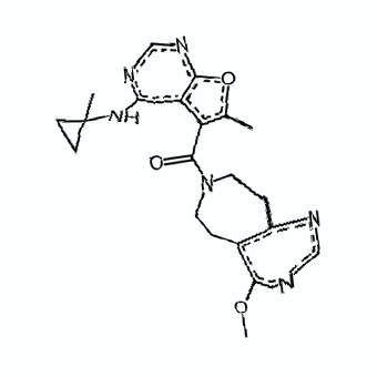 COc1ncnc2c1CCN(C(=O)c1c(C)oc3ncnc(NC4(C)CC4)c13)CC2